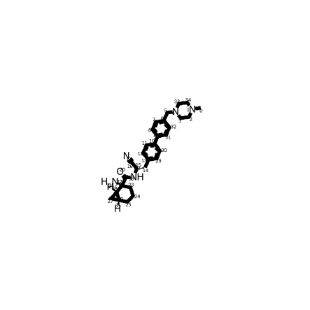 CN1CCN(Cc2ccc(-c3ccc(C[C@@H](C#N)NC(=O)[C@]4(N)CCC[C@@H]5C[C@@H]54)cc3)cc2)CC1